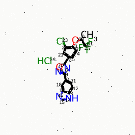 C[C@@H](Oc1ccc(-c2nc(-c3ccc4[nH]cnc4c3)no2)cc1Cl)C(F)(F)F.Cl